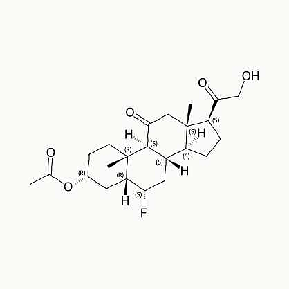 CC(=O)O[C@@H]1CC[C@@]2(C)[C@@H](C1)[C@@H](F)C[C@H]1[C@@H]3CC[C@H](C(=O)CO)[C@@]3(C)CC(=O)[C@@H]12